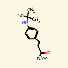 CNC(=O)CCc1ccc(NC(C)(C)C#N)cc1